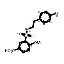 COc1ccc(C(=O)O)cc1S(=O)(=O)NCCc1ccc(Br)cc1